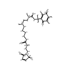 CC1=C(C)C(=O)C(C(C)(C)CC(=O)N(C)CCN(C)CCCCCC(=O)NCCN2C(=O)C=CC2=O)=C(C)C1=O